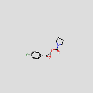 O=C(O[C@H]1O[C@@H]1c1ccc(F)cc1)N1CCCC1